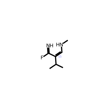 CN/C=C(\C(=N)F)C(C)C